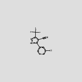 N#Cc1c(C(F)(F)F)n[nH]c1-c1cccc(Cl)c1